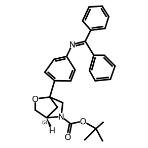 CC(C)(C)OC(=O)N1CC2(c3ccc(N=C(c4ccccc4)c4ccccc4)cc3)C[C@H]1CO2